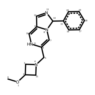 COC1CN(CC2=CN3C(=CN2)C=NC3c2ccccc2)C1